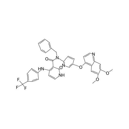 COc1cc2nccc(Oc3ccc(N(Cc4ccccc4)C(=O)c4c(Nc5ccc(C(F)(F)F)cc5)cc[nH]c4=O)nc3)c2cc1OC